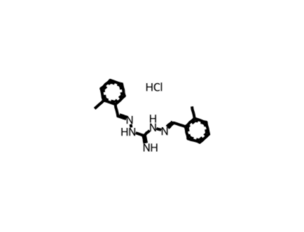 Cc1ccccc1C=NNC(=N)NN=Cc1ccccc1C.Cl